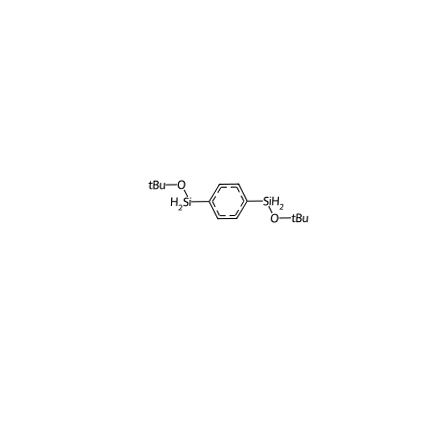 CC(C)(C)O[SiH2]c1ccc([SiH2]OC(C)(C)C)cc1